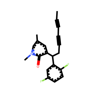 CC#CC#CCC(c1cc(F)ccc1F)c1cc(C)cn(C)c1=O